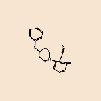 Cc1cccc(N2CCC(Oc3ccccc3)CC2)c1C#N